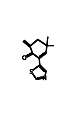 C=C1CC(C)(C)C=C(c2cncs2)C1=O